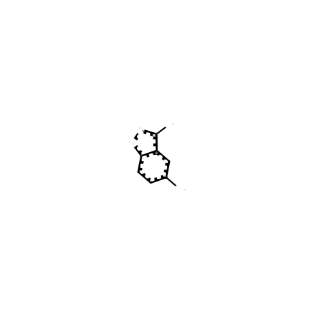 CC(C)(C)c1ccc2[nH]nc(O)c2c1